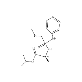 COCP(=O)(Nc1ccncn1)N[C@@H](C)C(=O)OC(C)C